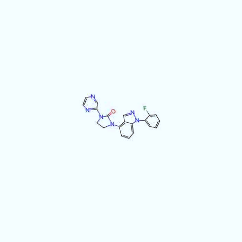 O=C1N(c2cnccn2)CCN1c1cccc2c1cnn2-c1ccccc1F